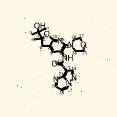 CC(C)(O)C1(C)Cc2cc(NC(=O)c3cnn4cccnc34)c(N3CCOCC3)nc2O1